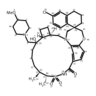 COC1CCN(C[C@]2(O)CCC[C@H](C)[C@@H](C)S(=O)(=O)NC(=O)c3ccc4c(c3)N(C[C@@H]3CC[C@H]32)C[C@@]2(CCCc3cc(Cl)ccc32)CO4)CC1